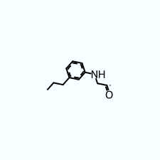 CCCc1cccc(NC[C]=O)c1